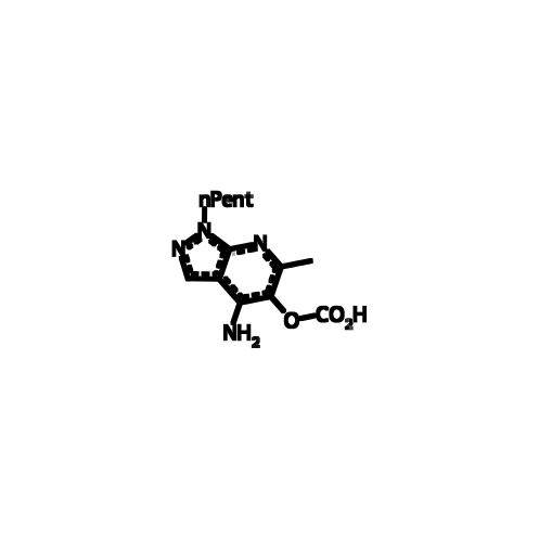 CCCCCn1ncc2c(N)c(OC(=O)O)c(C)nc21